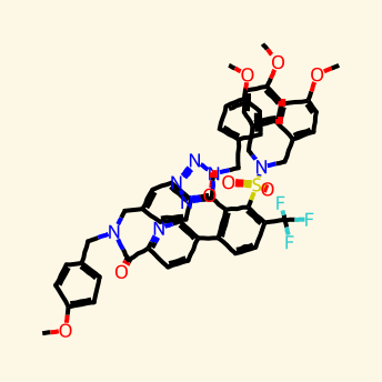 COc1ccc(CN(Cc2ccc(OC)cc2)C(=O)c2ccc(-c3ccc(C(F)(F)F)c(S(=O)(=O)N(Cc4ccc(OC)cc4)Cc4ccc(OC)cc4)c3-c3nnnn3Cc3ccc(OC)cc3)cn2)cc1